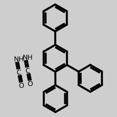 N=C=O.N=C=O.c1ccc(-c2ccc(-c3ccccc3)c(-c3ccccc3)c2)cc1